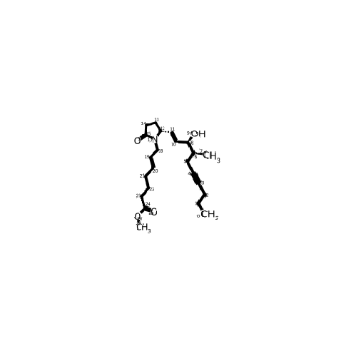 CCCC#CC[C@H](C)[C@H](O)C=C[C@H]1CCC(=O)N1CC=CCCCC(=O)OC